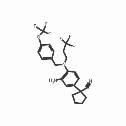 N#CC1(c2ccc(N(CCC(F)(F)F)Cc3ccc(OC(F)(F)F)cc3)c(N)c2)CCCC1